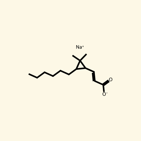 CCCCCCC1C(C=CC(=O)[O-])C1(C)C.[Na+]